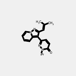 CC(C)=Cc1nn2ccccc2c1-c1ccc(=O)n(C(C)C)n1